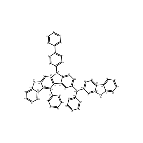 c1ccc(-c2ccc(-n3c4ccc(N(c5ccccc5)c5ccc6c(c5)oc5ccccc56)cc4c4c(-c5ccccc5)c5c(cc43)oc3ccccc35)cc2)cc1